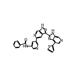 O=C(Nc1cncc(-c2cc3c(-c4nc5c(-c6cccs6)cncc5[nH]4)n[nH]c3cn2)c1)c1ccccc1